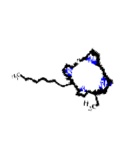 CCCCCCCCc1c2nc(c(CC)c3ccc(cc4nc(cc5ccc1[nH]5)C=C4)[nH]3)C=C2